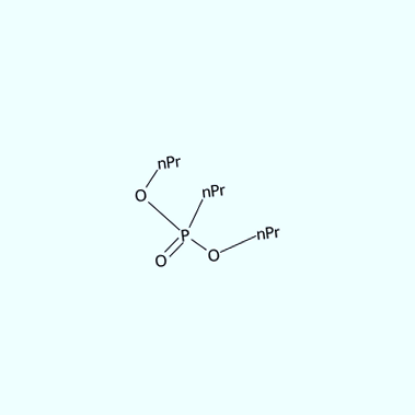 CCCOP(=O)(CCC)OCCC